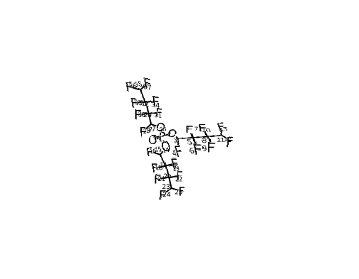 O=P(OC(F)C(F)(F)C(F)(F)C(F)F)(OC(F)C(F)(F)C(F)(F)C(F)F)OC(F)C(F)(F)C(F)(F)C(F)F